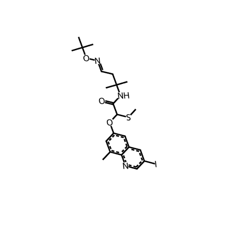 CSC(Oc1cc(C)c2ncc(I)cc2c1)C(=O)NC(C)(C)CC=NOC(C)(C)C